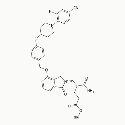 CC(C)(C)OC(=O)CCC(/C=[N+]1/Cc2c(OCc3ccc(SC4CCN(c5ccc(C#N)cc5F)CC4)cc3)cccc2C1=O)C(N)=O